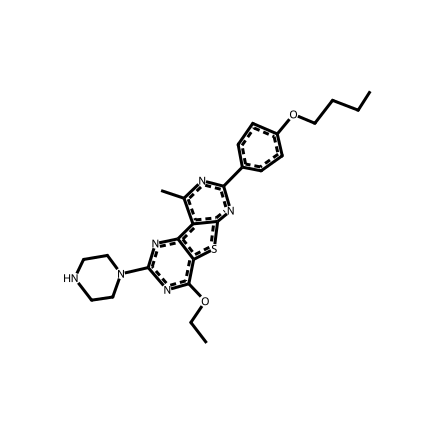 CCCCOc1ccc(-c2nc(C)c3c(n2)sc2c(OCC)nc(N4CCNCC4)nc23)cc1